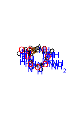 CCCC[C@@H](C(=O)N[C@H]1CSSC[C@@H](C(C)=O)NC(=O)[C@H](Cc2c[nH]c3ccccc23)NC(=O)[C@H](CCCNC(=N)N)NC(=O)[C@@H](Cc2ccccc2)NC(=O)[C@H](Cc2cnc[nH]2)NC(=O)[C@@H](C)NC1=O)N1C(=O)NC2(CCCCC2)C1=O